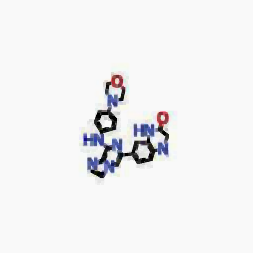 CN1CC(=O)Nc2cc(-c3cn4ccnc4c(Nc4ccc(N5CCOCC5)cc4)n3)ccc21